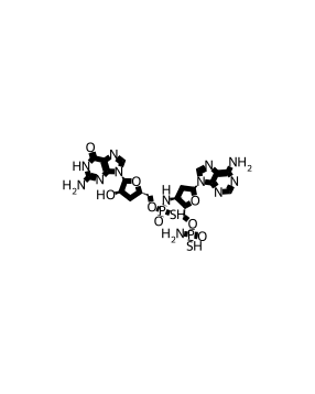 Nc1nc2c(ncn2[C@@H]2O[C@H](COP(=O)(S)N[C@H]3C[C@H](n4cnc5c(N)ncnc54)O[C@@H]3COP(N)(=O)S)C[C@H]2O)c(=O)[nH]1